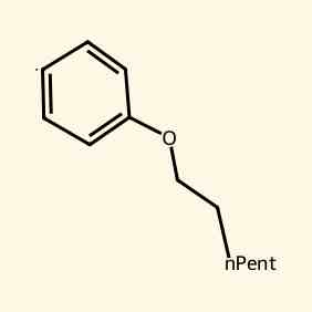 [CH2]CCCCCCOc1cc[c]cc1